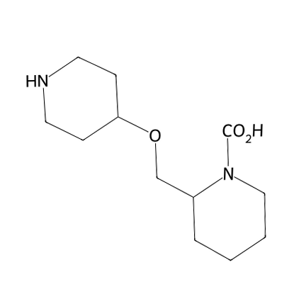 O=C(O)N1CCCCC1COC1CCNCC1